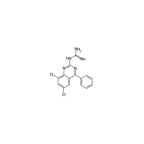 N=C(N)Nc1nc(-c2ccccc2)c2cc(Cl)cc(Cl)c2n1